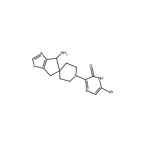 CC(C)c1cnc(N2CCC3(CC2)Cc2scnc2C3N)c(=O)[nH]1